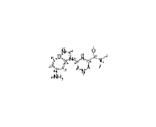 CN(C)C(=O)c1cncc(-n2cnc3ccc(N)cc32)n1